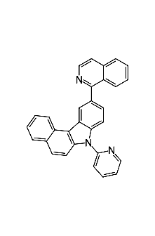 c1ccc(-n2c3ccc(-c4nccc5ccccc45)cc3c3c4ccccc4ccc32)nc1